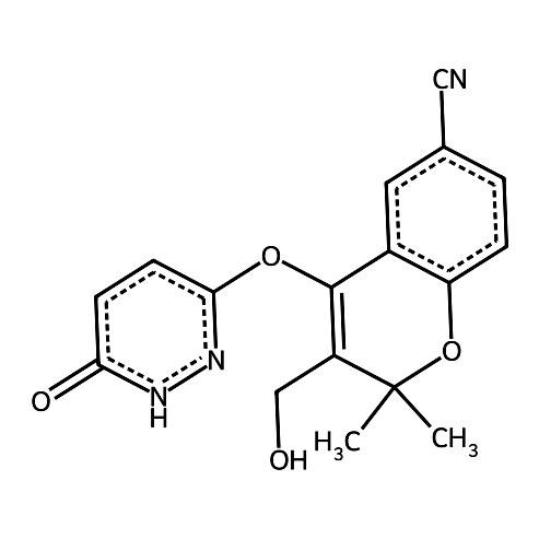 CC1(C)Oc2ccc(C#N)cc2C(Oc2ccc(=O)[nH]n2)=C1CO